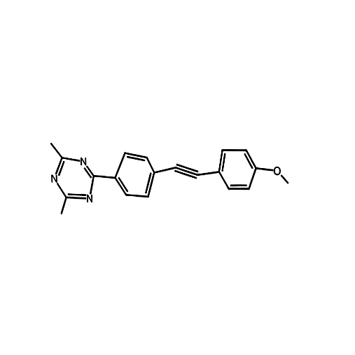 COc1ccc(C#Cc2ccc(-c3nc(C)nc(C)n3)cc2)cc1